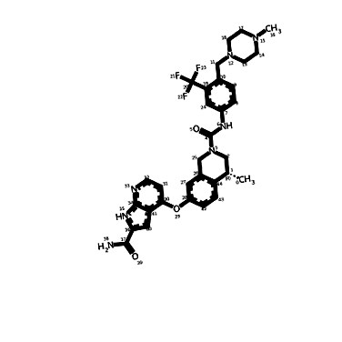 C[C@H]1CN(C(=O)Nc2ccc(CN3CCN(C)CC3)c(C(F)(F)F)c2)Cc2cc(Oc3ccnc4[nH]c(C(N)=O)cc34)ccc21